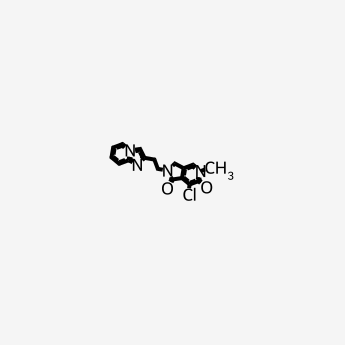 Cn1cc2c(c(Cl)c1=O)C(=O)N(CCc1cn3ccccc3n1)C2